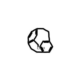 O=C(O)Cc1cc2ccc1CCc1ccc(cc1)CC2